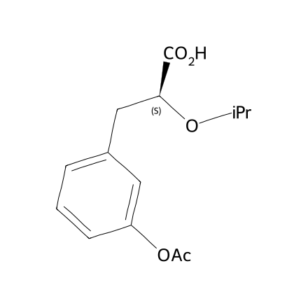 CC(=O)Oc1cccc(C[C@H](OC(C)C)C(=O)O)c1